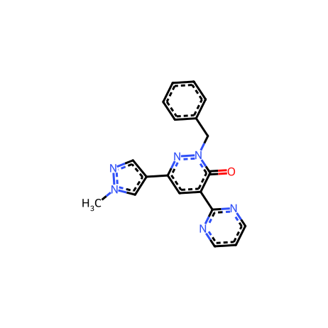 Cn1cc(-c2cc(-c3ncccn3)c(=O)n(Cc3ccccc3)n2)cn1